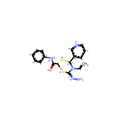 C=CN(/C(=N\N)SCC(=O)Nc1ccccc1)[C@@H](S)c1cccnc1